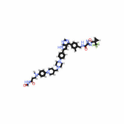 Cc1cc(-c2ncnc3[nH]c(-c4ccc(N5CCN(CC6CCN(c7ccc(N(C)CCC(=O)NC=O)cc7)CC6)CC5)cc4)cc23)ccc1CNC(=O)c1noc(C2(C(F)(F)F)CC2)n1